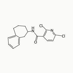 O=C(NC1CCCc2ccccc2C1)c1ccc(Cl)nc1Cl